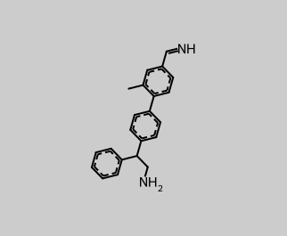 Cc1cc(C=N)ccc1-c1ccc(C(CN)c2ccccc2)cc1